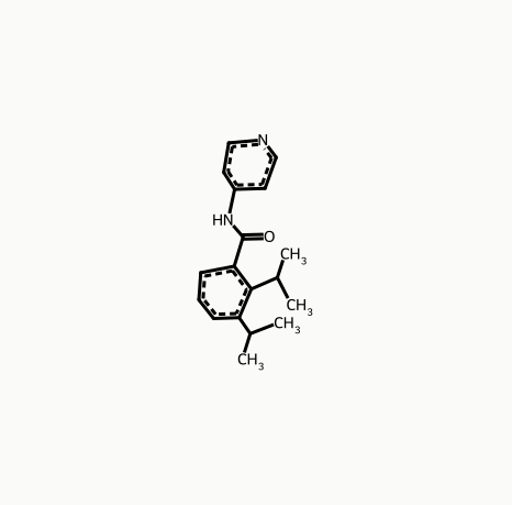 CC(C)c1cccc(C(=O)Nc2ccncc2)c1C(C)C